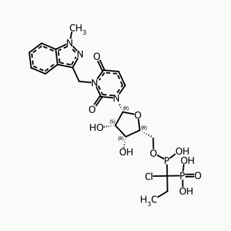 CCC(Cl)(P(O)OC[C@H]1O[C@@H](n2ccc(=O)n(Cc3nn(C)c4ccccc34)c2=O)[C@@H](O)[C@H]1O)P(=O)(O)O